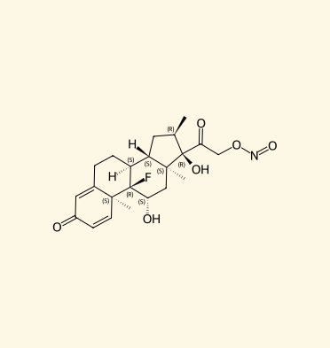 C[C@@H]1C[C@H]2[C@@H]3CCC4=CC(=O)C=C[C@]4(C)[C@@]3(F)[C@@H](O)C[C@]2(C)[C@@]1(O)C(=O)CON=O